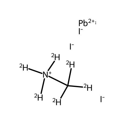 [2H]C([2H])([2H])[N+]([2H])([2H])[2H].[I-].[I-].[I-].[Pb+2]